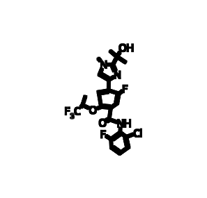 CC(Oc1cc(-c2cn(C)c(C(C)(C)O)n2)c(F)cc1C(=O)Nc1c(F)cccc1Cl)C(F)(F)F